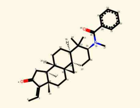 C/C=C1\C(=O)C[C@@]2(C)[C@@H]3CC[C@H]4C(C)(C)[C@@H](N(C)C(=O)c5ccccc5)CC[C@@]45C[C@@]35CC[C@]12C